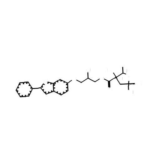 CC(I)C(C)(CC(C)(C)C)C(=O)OCC(O)COc1ccc2cc(-c3ccccc3)oc2c1